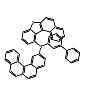 c1ccc(-c2cccc(N(c3ccc4ccc5ccc6ccccc6c5c4c3)c3cccc4sc5ccc6ccccc6c5c34)c2)cc1